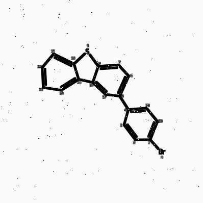 Brc1ccc(-c2ccc3sc4ccccc4c3c2)cc1